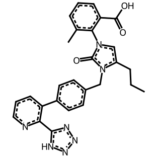 CCCc1cn(-c2c(C)cccc2C(=O)O)c(=O)n1Cc1ccc(-c2cccnc2-c2nnn[nH]2)cc1